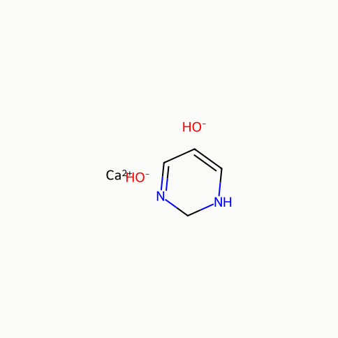 C1=CNCN=C1.[Ca+2].[OH-].[OH-]